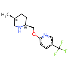 C[C@H]1CC[C@@H](COc2ccc(C(F)(F)F)cn2)NC1